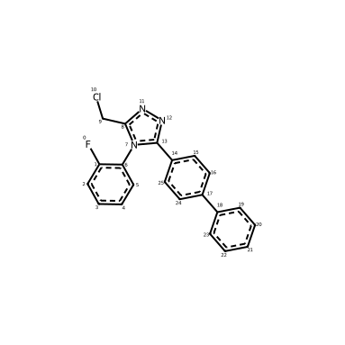 Fc1ccccc1-n1c(CCl)nnc1-c1ccc(-c2ccccc2)cc1